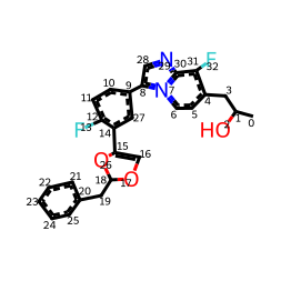 CC(O)Cc1ccn2c(-c3ccc(F)c(C4=COC(Cc5ccccc5)O4)c3)cnc2c1F